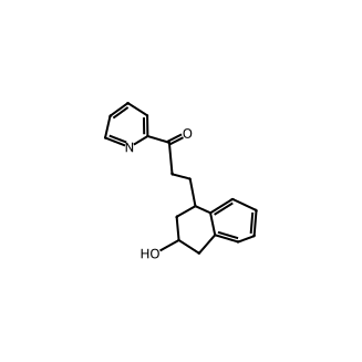 O=C(CCC1CC(O)Cc2ccccc21)c1ccccn1